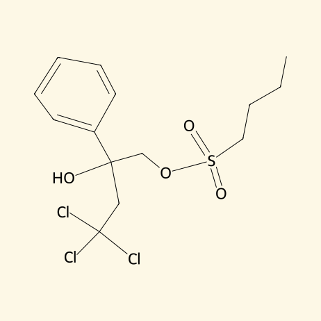 CCCCS(=O)(=O)OCC(O)(CC(Cl)(Cl)Cl)c1ccccc1